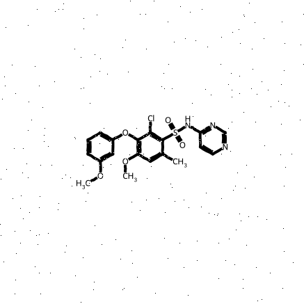 COc1cccc(Oc2c(OC)cc(C)c(S(=O)(=O)Nc3ccncn3)c2Cl)c1